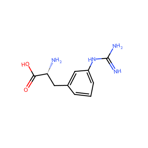 N=C(N)Nc1cccc(C[C@@H](N)C(=O)O)c1